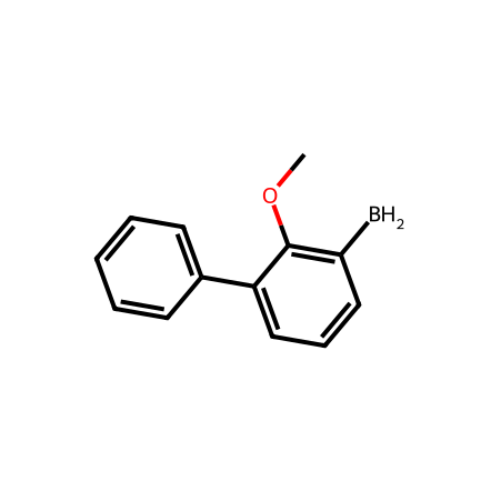 Bc1cccc(-c2ccccc2)c1OC